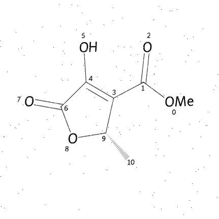 COC(=O)C1=C(O)C(=O)O[C@H]1C